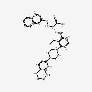 CCc1c(NC[C@H](NCc2cnc3ccccc3c2)C(=O)O)ncnc1N1CCC(c2ccc3c(n2)NCCC3)CC1